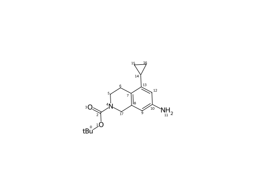 CC(C)(C)OC(=O)N1CCc2c(cc(N)cc2C2CC2)C1